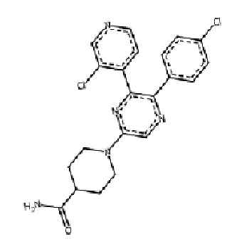 NC(=O)C1CCN(c2cnc(-c3ccc(Cl)cc3)c(-c3ccncc3Cl)n2)CC1